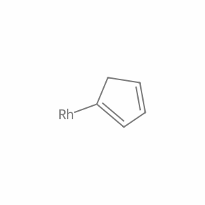 [Rh][C]1=CC=CC1